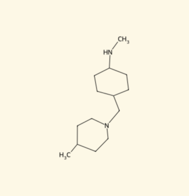 CNC1CCC(CN2CCC(C)CC2)CC1